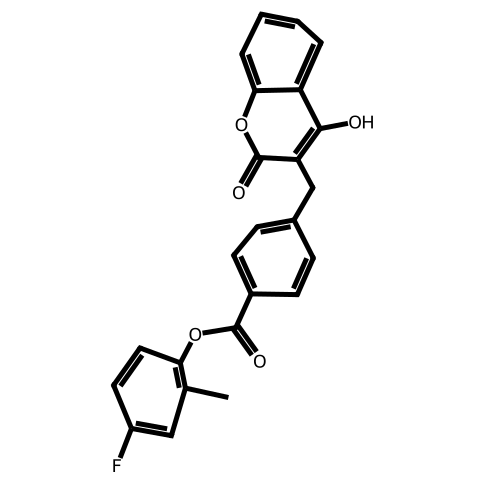 Cc1cc(F)ccc1OC(=O)c1ccc(Cc2c(O)c3ccccc3oc2=O)cc1